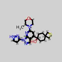 C[C@@H]1COCCN1c1cc(C2(O)CCC3(CC2)CSC3)c2cnn(-c3cc[nH]n3)c2n1